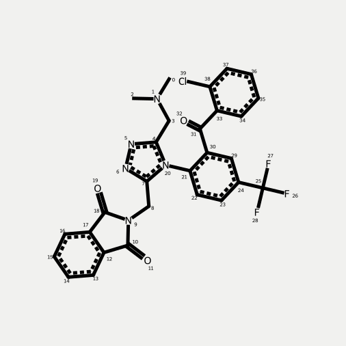 CN(C)Cc1nnc(CN2C(=O)c3ccccc3C2=O)n1-c1ccc(C(F)(F)F)cc1C(=O)c1ccccc1Cl